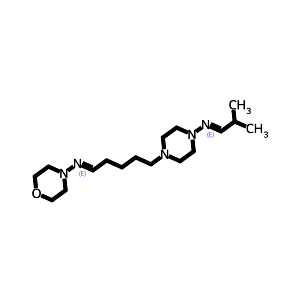 CC(C)/C=N/N1CCN(CCCC/C=N/N2CCOCC2)CC1